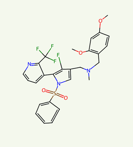 COc1ccc(CN(C)Cc2cn(S(=O)(=O)c3ccccc3)c(-c3cccnc3C(F)(F)F)c2F)c(OC)c1